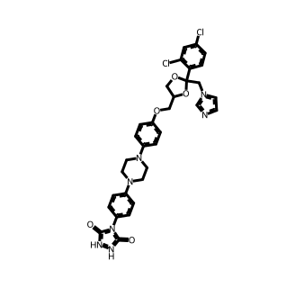 O=c1[nH][nH]c(=O)n1-c1ccc(N2CCN(c3ccc(OCC4COC(Cn5ccnc5)(c5ccc(Cl)cc5Cl)O4)cc3)CC2)cc1